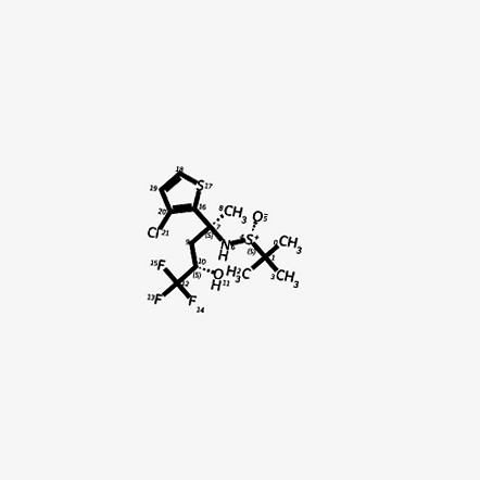 CC(C)(C)[S@@+]([O-])N[C@@](C)(C[C@H](O)C(F)(F)F)c1sccc1Cl